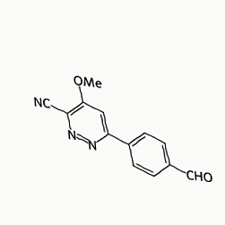 COc1cc(-c2ccc(C=O)cc2)nnc1C#N